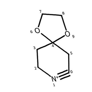 C1#[N+]CCC2(C1)OCCO2